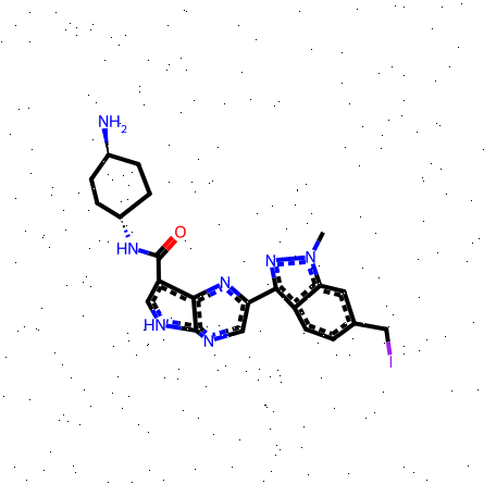 Cn1nc(-c2cnc3[nH]cc(C(=O)N[C@H]4CC[C@H](N)CC4)c3n2)c2ccc(CI)cc21